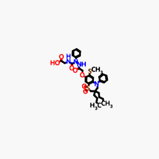 CCCCC1(CCCC)CN(c2ccccc2)c2cc(SC)c(OCC(=O)NN(C(=O)NCC(=O)O)c3ccccc3)cc2S(=O)(=O)C1